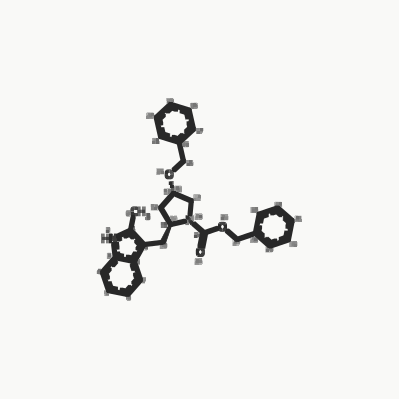 Cc1[nH]c2ccccc2c1C[C@H]1C[C@H](OCc2ccccc2)CN1C(=O)OCc1ccccc1